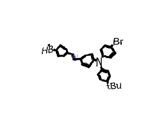 CBc1ccc(/C=C/c2ccc(N(c3ccc(Br)cc3)c3ccc(C(C)(C)C)cc3)cc2)cc1